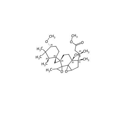 COC(=O)C[C@@H](C)[C@]1(C)CC2OC23C2(OC2C)[C@]2(CC[C@@]31C)C[C@@]21CC[C@@H](OC)C(C)(C)[C@@H]1C